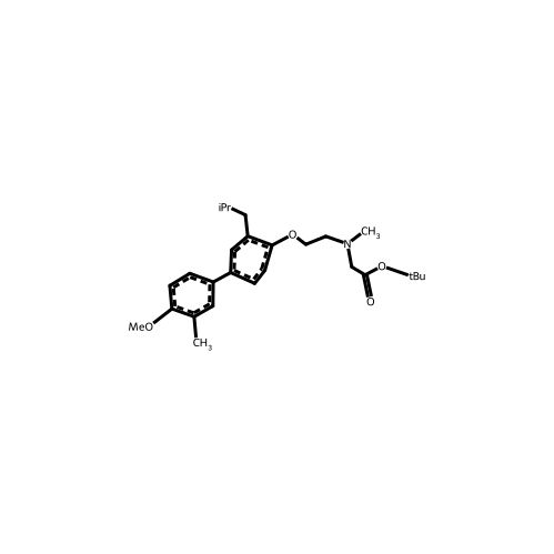 COc1ccc(-c2ccc(OCCN(C)CC(=O)OC(C)(C)C)c(CC(C)C)c2)cc1C